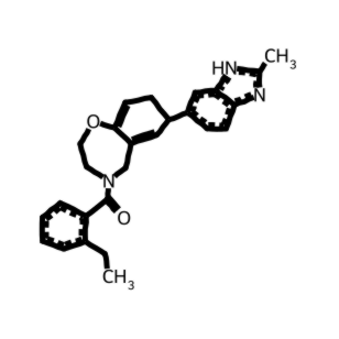 CCc1ccccc1C(=O)N1CCOC2=CCC(c3ccc4nc(C)[nH]c4c3)C=C2C1